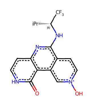 CC(C)[C@@H](Nc1nc2cc[nH]c(=O)c2c2c[n+](O)ccc12)C(F)(F)F